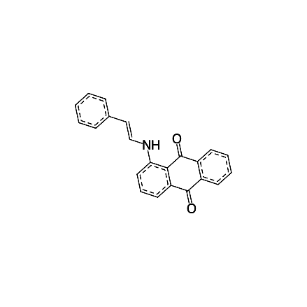 O=C1c2ccccc2C(=O)c2c(NC=Cc3ccccc3)cccc21